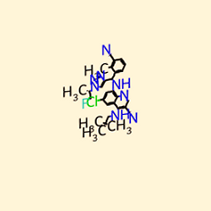 Cc1c(C#N)cccc1[C@H](Nc1cc(Cl)cc2c(NCC(C)(C)C)c(C#N)cnc12)c1cn([C@@H](C)CF)nn1